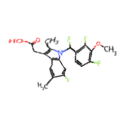 COc1c(F)ccc(C(F)n2c(C)c(CC(=O)O)c3cc(C)c(F)cc32)c1F